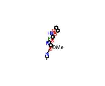 COc1cc2c(Oc3ccc(NS(=O)(=O)c4cccc5ccccc45)cc3F)ccnc2cc1OCCCN1CCC(C)CC1